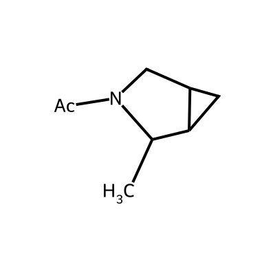 CC(=O)N1CC2CC2C1C